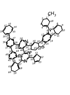 C[C@H]1CCC=C(N2C3=CCCCC3c3cc4c(cc32)C2C=C(c3ncc(-c5cc(C6=CC=CCC=C6)ccc5-c5ccccc5)cc3C3=NC(C5=CCC=C5)=NC(C5=CCCC=C5)N3)CCC2S4)C1